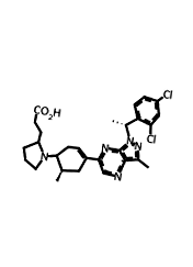 Cc1nn([C@H](C)c2ccc(Cl)cc2Cl)c2nc(C3=CCC(N4CCCC4CCC(=O)O)[C@H](C)C3)cnc12